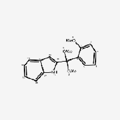 COc1ccccc1C(OC)(OC)c1cc2ccccc2[nH]1